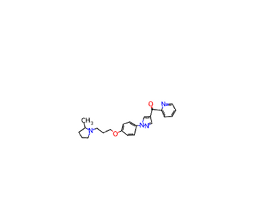 CC1CCCN1CCCOc1ccc(-n2cc(C(=O)c3ccccn3)cn2)cc1